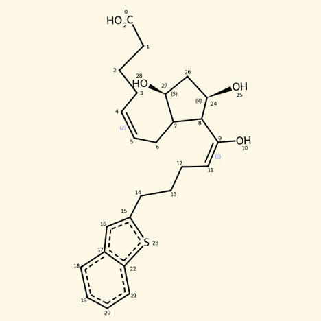 O=C(O)CCC/C=C\CC1C(/C(O)=C\CCCc2cc3ccccc3s2)[C@H](O)C[C@@H]1O